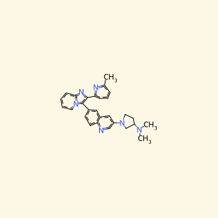 Cc1cccc(-c2nc3ccccn3c2-c2ccc3ncc(N4CCC(N(C)C)C4)cc3c2)n1